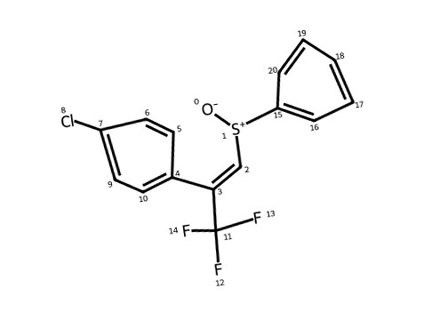 [O-][S+](/C=C(\c1ccc(Cl)cc1)C(F)(F)F)c1ccccc1